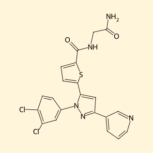 NC(=O)CNC(=O)c1ccc(-c2cc(-c3cccnc3)nn2-c2ccc(Cl)c(Cl)c2)s1